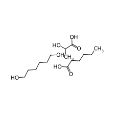 CC(O)C(=O)O.CCCCCC(=O)O.OCCCCCCO